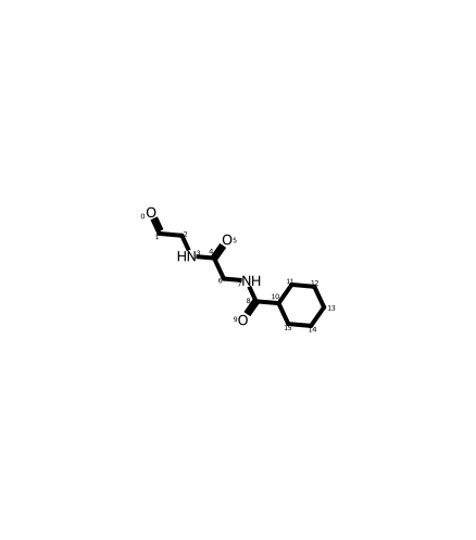 O=CCNC(=O)CNC(=O)C1CCCCC1